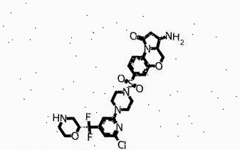 NC1CC(=O)N2c3ccc(S(=O)(=O)N4CCN(c5cc(C(F)(F)[C@H]6CNCCO6)cc(Cl)n5)CC4)cc3OCC12